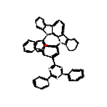 c1ccc(-c2cc(-c3nc(-c4ccccc4)nc(-c4ccccc4)n3)cc(-n3c4c(c5ccc6c7ccccc7n(-c7ccccc7)c6c53)CCCC4)c2)cc1